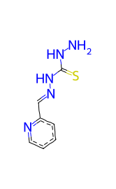 NNC(=S)NN=Cc1ccccn1